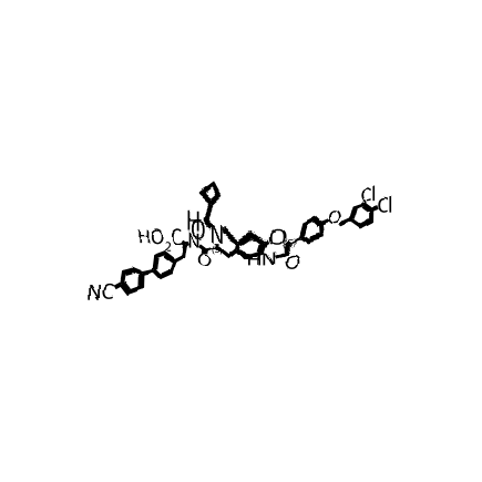 N#Cc1ccc(-c2ccc(CC(NC(=O)[C@@H]3Cc4cc5c(cc4CN3C(=O)C3CCC3)O[C@@H](c3ccc(OCc4ccc(Cl)c(Cl)c4)cc3)C(=O)N5)C(=O)O)cc2)cc1